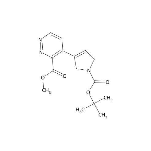 COC(=O)c1nnccc1C1=CCN(C(=O)OC(C)(C)C)C1